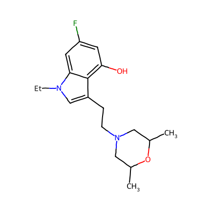 CCn1cc(CCN2CC(C)OC(C)C2)c2c(O)cc(F)cc21